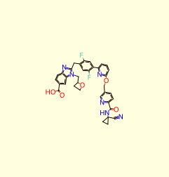 N#CC1(NC(=O)c2ccc(COc3cccc(-c4cc(F)c(Cc5nc6ccc(C(=O)O)cc6n5CC5CCO5)cc4F)n3)cn2)CC1